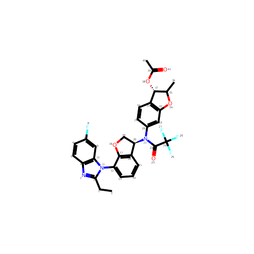 CCc1nc2ccc(F)cc2n1-c1cccc2c1OC[C@H]2N(C(=O)C(F)(F)F)c1ccc2c(c1)OC(C)[C@H]2OC(C)=O